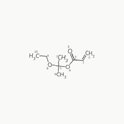 C=CC(=O)OC(C)(C)OCC